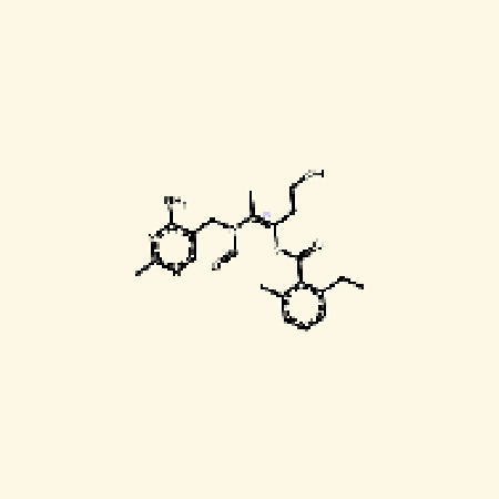 CCc1cccc(C)c1C(=O)S/C(CCO)=C(/C)N(C=O)Cc1cnc(C)nc1N